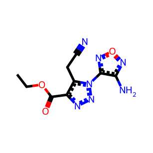 CCOC(=O)c1nnn(-c2nonc2N)c1CC#N